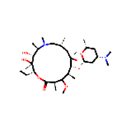 CC[C@H]1OC(=O)[C@H](C)C(OC)[C@H](C)[C@@H](O[C@H]2C[C@@H](N(C)C)C[C@@H](C)O2)[C@](C)(O)C[C@@H](C)CN(C)[C@H](C)[C@@H](O)[C@]1(C)O